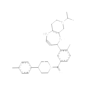 Cc1ccc(C2CCN(C(=O)c3ccc(C)c(C4C#CNC5=C(CN(C(C)C)CC5)N4)c3)CC2)cc1